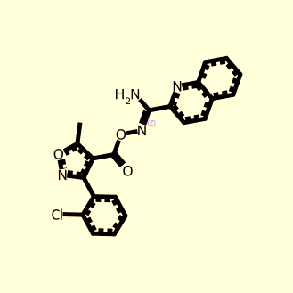 Cc1onc(-c2ccccc2Cl)c1C(=O)O/N=C(\N)c1ccc2ccccc2n1